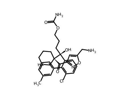 Cc1cccc(-c2c(Cl)cccc2[C@@](O)(CCCOC(N)=O)[C@@]2(C(=O)c3cc(CN)on3)CCCNC2)c1